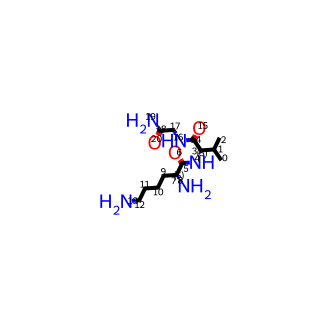 CC(C)[C@H](NC(=O)[C@@H](N)CCCCN)C(=O)NCC(N)=O